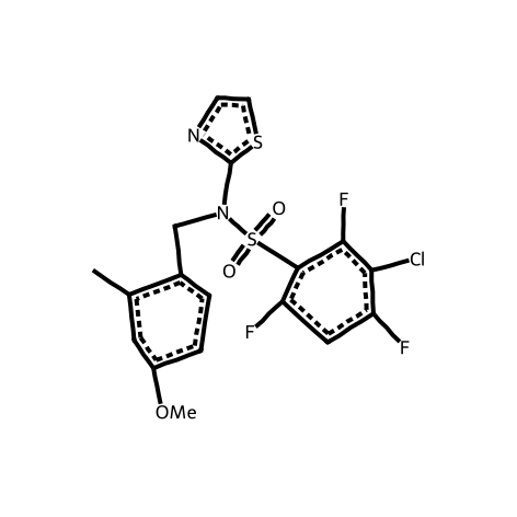 COc1ccc(CN(c2nccs2)S(=O)(=O)c2c(F)cc(F)c(Cl)c2F)c(C)c1